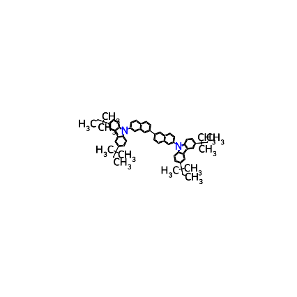 CCC(C)(C)c1ccc2c(c1)c1cc(C(C)(C)CC)ccc1n2-c1ccc2cc(-c3ccc4ccc(-n5c6ccc(C(C)(C)CC)cc6c6cc(C(C)(C)CC)ccc65)cc4c3)ccc2c1